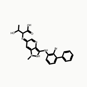 CC(O)C(N=c1cnc2c(Nc3cccc(-c4ccccc4)c3Br)[nH]n(C)c-2c1)C(=O)O